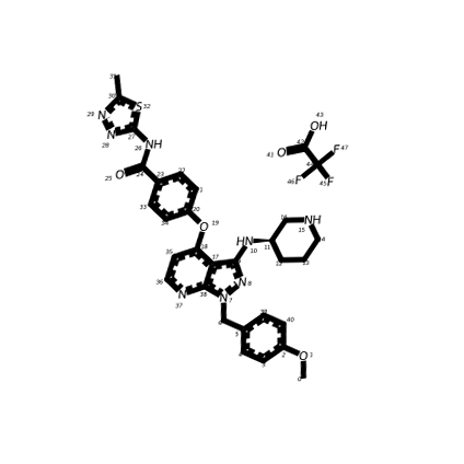 COc1ccc(Cn2nc(N[C@@H]3CCCNC3)c3c(Oc4ccc(C(=O)Nc5nnc(C)s5)cc4)ccnc32)cc1.O=C(O)C(F)(F)F